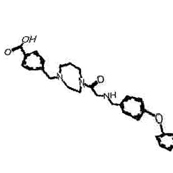 O=C(O)c1ccc(CN2CCCN(C(=O)CNCc3ccc(Oc4ccccc4)cc3)CC2)cc1